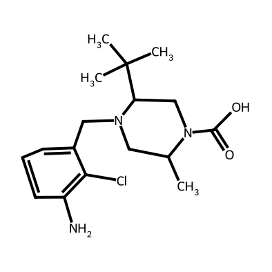 CC1CN(Cc2cccc(N)c2Cl)C(C(C)(C)C)CN1C(=O)O